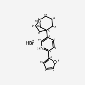 Br.c1coc(-c2ccc(C34CCCN(CC3)C4)cn2)c1